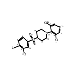 O=S(=O)(c1ccc(Cl)c(Cl)c1)C1CCN(c2c(Cl)cncc2Cl)CC1